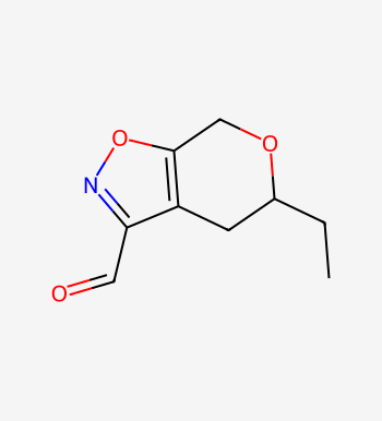 CCC1Cc2c(C=O)noc2CO1